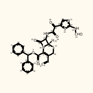 C=CC1=C(C(=O)OC(c2ccccc2)c2ccccc2)N2C(=O)C(NC(=O)C(=O)c3cnc(NC=O)s3)[C@@H]2SC1